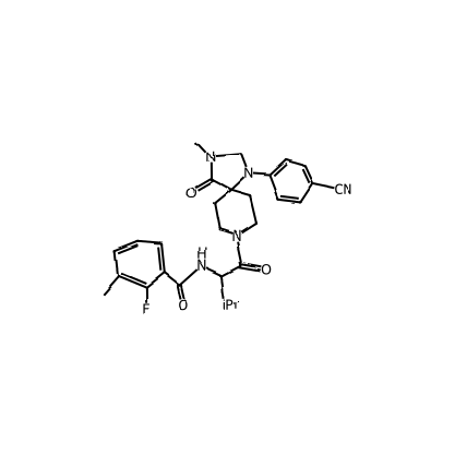 Cc1cccc(C(=O)NC(C(=O)N2CCC3(CC2)C(=O)N(C)CN3c2ccc(C#N)cc2)C(C)C)c1F